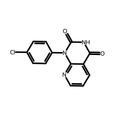 O=c1[nH]c(=O)n(-c2ccc(Cl)cc2)c2ncccc12